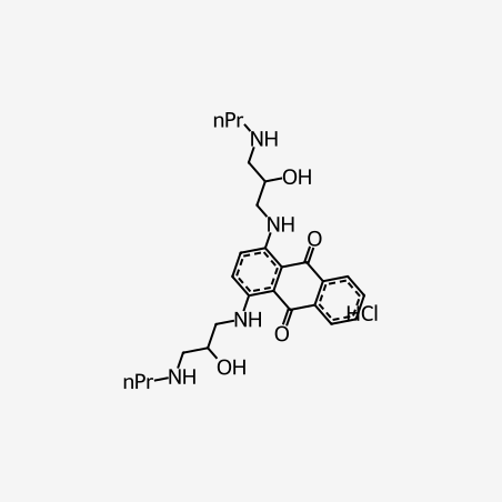 CCCNCC(O)CNc1ccc(NCC(O)CNCCC)c2c1C(=O)c1ccccc1C2=O.Cl